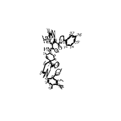 Cc1cc(N2CCC3(CCC(NC(=O)c4[nH]cnc4C(=O)Oc4ccccc4)CC3)C2=O)c(Cl)cc1F